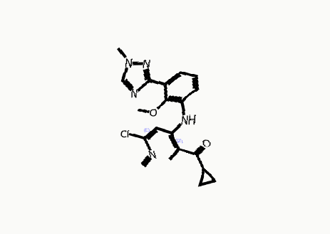 C=N/C(Cl)=C\C(Nc1cccc(-c2ncn(C)n2)c1OC)=C(/C)C(=O)C1CC1